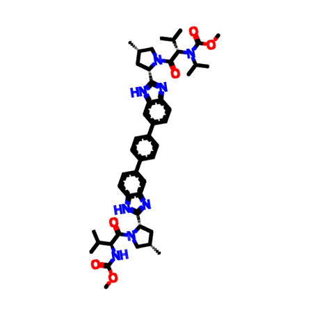 COC(=O)N[C@H](C(=O)N1C[C@@H](C)C[C@H]1c1nc2cc(-c3ccc(-c4ccc5nc([C@@H]6C[C@H](C)CN6C(=O)[C@H](C(C)C)N(C(=O)OC)C(C)C)[nH]c5c4)cc3)ccc2[nH]1)C(C)C